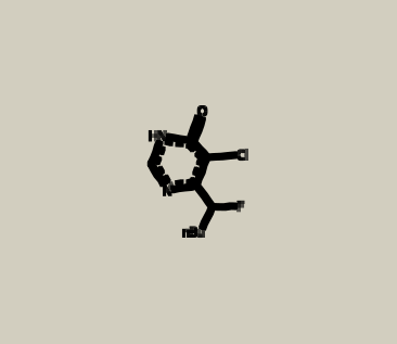 CCCCC(F)c1nc[nH]c(=O)c1Cl